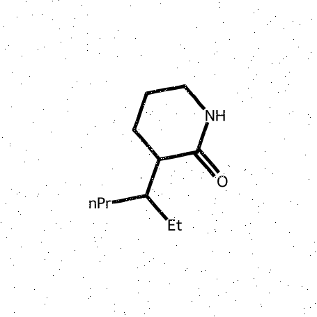 CCCC(CC)C1CCCNC1=O